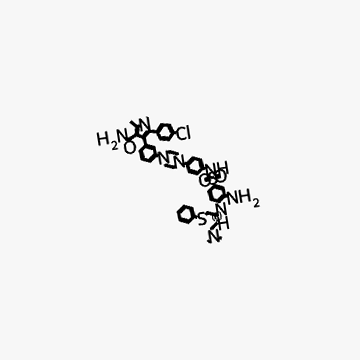 Cc1c(C(N)=O)c(-c2cccc(N3CCN(c4ccc(NS(=O)(=O)c5ccc(N[C@H](CCN(C)C)CSc6ccccc6)c(N)c5)cc4)CC3)c2)c(-c2ccc(Cl)cc2)n1C